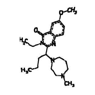 CCCC(c1nc2ccc(OC)cc2c(=O)n1CC)N1CCCN(C)CC1